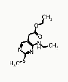 CCNc1nc(SC)ncc1CC(=O)OCC